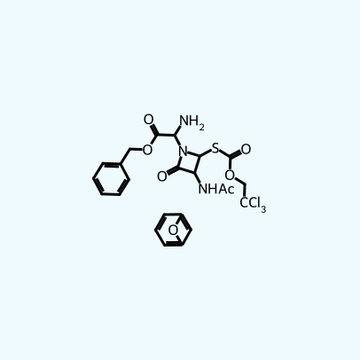 CC(=O)NC1C(=O)N(C(N)C(=O)OCc2ccccc2)C1SC(=O)OCC(Cl)(Cl)Cl.c1cc2cc(c1)O2